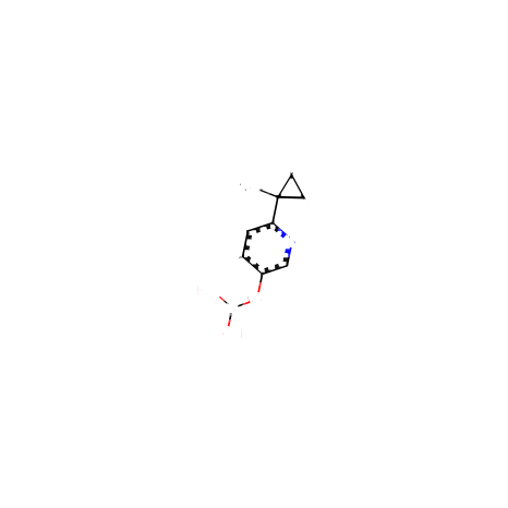 N#CC1(c2ccc(OB(O)O)cn2)CC1